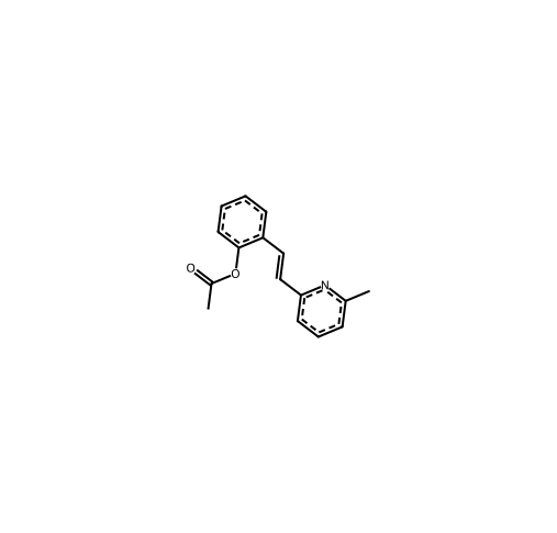 CC(=O)Oc1ccccc1C=Cc1cccc(C)n1